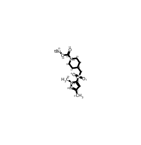 Cc1cc(S(=O)(=O)CC2CCN(C(=O)OC(C)(C)C)CC2)n(C)n1